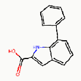 O=C(O)c1cc2cccc(-c3ccccc3)c2[nH]1